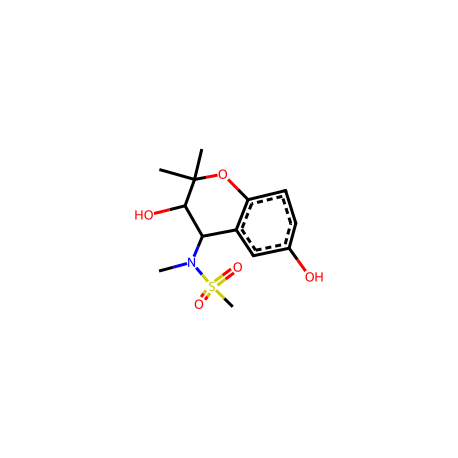 CN(C1c2cc(O)ccc2OC(C)(C)C1O)S(C)(=O)=O